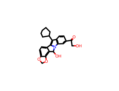 O=C(CO)c1ccc2c(C3CCCCC3)c3n(c2c1)C(O)c1c-3ccc2c1OCO2